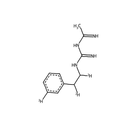 [2H]c1cccc(C([2H])C([2H])NC(=N)NC(C)=N)c1